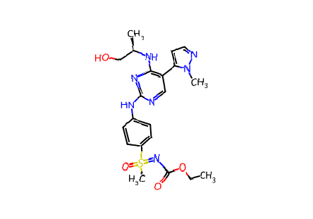 CCOC(=O)N=S(C)(=O)c1ccc(Nc2ncc(-c3ccnn3C)c(N[C@H](C)CO)n2)cc1